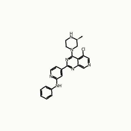 C[C@H]1CN(c2nc(-c3ccnc(Nc4ccccc4)c3)nc3cncc(Cl)c23)CCN1